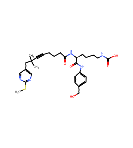 CSc1ncc(CC(C)(C)C#CCCCC(=O)N[C@@H](CCCCNC(=O)O)C(=O)Nc2ccc(CO)cc2)cn1